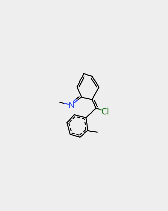 C/N=C1\C=CC=C\C1=C(/Cl)c1ccccc1C